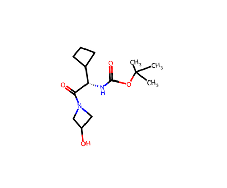 CC(C)(C)OC(=O)N[C@H](C(=O)N1CC(O)C1)C1CCC1